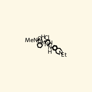 CCN1CCc2ccc(Nc3ncc(Cl)c([AsH][C@H]4CCCC[C@H]4C(=O)NC)n3)cc2CC1